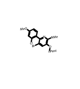 CCCCCOc1cc(Br)c(-c2ccc(OC)cc2Cl)nc1NC